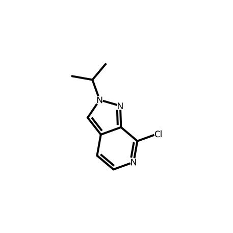 CC(C)n1cc2ccnc(Cl)c2n1